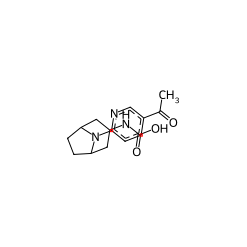 CC(=O)c1ccc(N2C3CCC2CC(NC(=O)O)C3)nc1